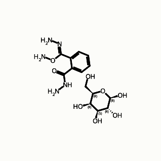 NN=C(ON)c1ccccc1C(=O)NN.OC[C@H]1O[C@@H](O)[C@H](O)[C@@H](O)[C@H]1O